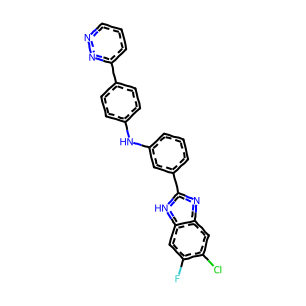 Fc1cc2[nH]c(-c3cccc(Nc4ccc(-c5cccnn5)cc4)c3)nc2cc1Cl